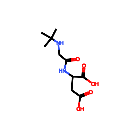 CC(C)(C)NCC(=O)NC(CC(=O)O)C(=O)O